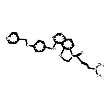 CN(C)C/C=C/C(=O)N1CCOc2c1ccc1ncnc(Nc3ccc(OCc4ccncc4)cc3)c21